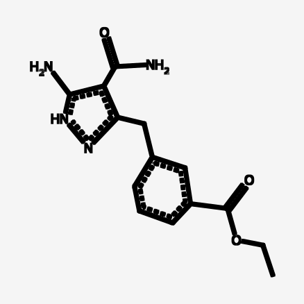 CCOC(=O)c1cccc(Cc2n[nH]c(N)c2C(N)=O)c1